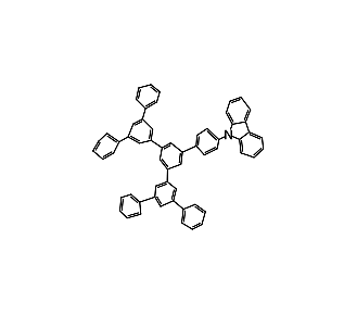 c1ccc(-c2cc(-c3ccccc3)cc(-c3cc(-c4ccc(-n5c6ccccc6c6ccccc65)cc4)cc(-c4cc(-c5ccccc5)cc(-c5ccccc5)c4)c3)c2)cc1